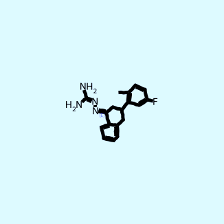 Cc1ccc(F)cc1C1C/C(=N\N=C(N)N)c2ccccc2C1